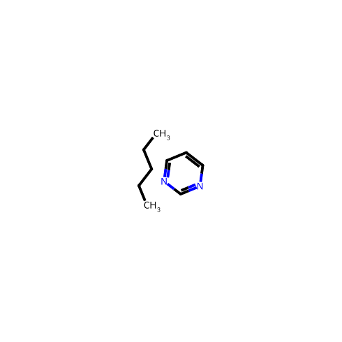 CCCCC.c1cncnc1